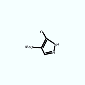 COc1cn[nH]c1Cl